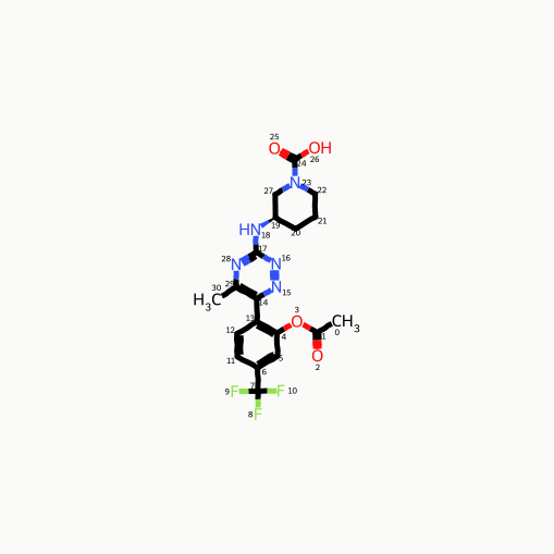 CC(=O)Oc1cc(C(F)(F)F)ccc1-c1nnc(N[C@@H]2CCCN(C(=O)O)C2)nc1C